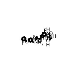 Cc1cc(Oc2ccccc2F)ccc1-n1ncc(C(=O)c2cc3cc(F)c(NS(=O)(=O)NC(C)(C)CO)cc3[nH]2)c1N